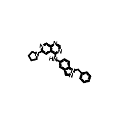 c1ccc(Cn2ncc3cc(Nc4ncnc5cnc(N6CCCC6)cc45)ccc32)cc1